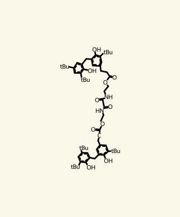 CC(C)(C)c1cc(Cc2cc(CCC(=O)OCCNC(=O)C(=O)NCCOC(=O)CCc3cc(Cc4cc(C(C)(C)C)cc(C(C)(C)C)c4O)c(O)c(C(C)(C)C)c3)cc(C(C)(C)C)c2O)c(O)c(C(C)(C)C)c1